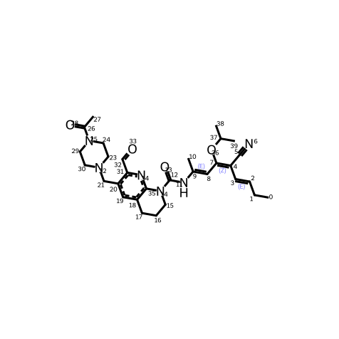 CC/C=C/C(C#N)=C(\C=C(/C)NC(=O)N1CCCc2cc(CN3CCN(C(C)=O)CC3)c(C=O)nc21)OC(C)C